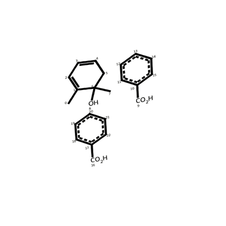 CC1=CC=CCC1(C)O.O=C(O)c1ccccc1.O=C(O)c1ccccc1